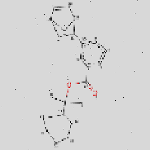 CC(C)(OC(=O)c1cccc(C2CC3C=CC2C3)c1)C1CCCCC1